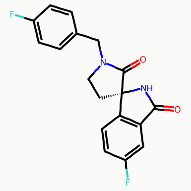 O=C1N[C@@]2(CCN(Cc3ccc(F)cc3)C2=O)c2ccc(F)cc21